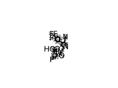 N#Cc1cnc(CNC(=O)[C@@H]2C[C@@H](F)CN2C(=O)O)cc1-c1ccc(C(F)(F)F)cc1